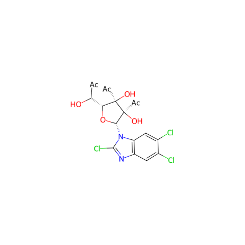 CC(=O)C(O)[C@H]1O[C@@H](n2c(Cl)nc3cc(Cl)c(Cl)cc32)[C@@](O)(C(C)=O)[C@@]1(O)C(C)=O